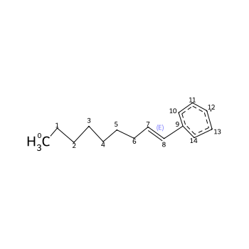 CCCCCCC/C=C/c1cc[c]cc1